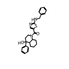 O=C(c1cnc(NCc2ccccc2)s1)N1CCC(O)(c2ccccc2)C2CCCCC21